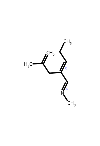 C=C(C)CC(/C=N/C)=C\CC